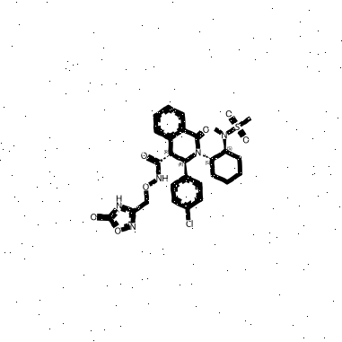 CN([C@H]1CCCC[C@@H]1N1C(=O)c2ccccc2[C@@H](C(=O)NOCc2noc(=O)[nH]2)[C@@H]1c1ccc(Cl)cc1)S(C)(=O)=O